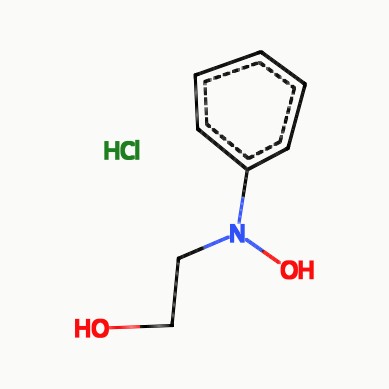 Cl.OCCN(O)c1ccccc1